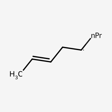 [CH2]CC[CH]CC=CC